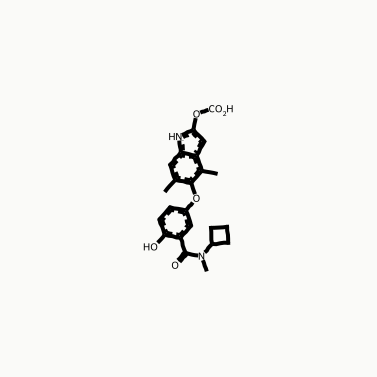 Cc1cc2[nH]c(OC(=O)O)cc2c(C)c1Oc1ccc(O)c(C(=O)N(C)C2CCC2)c1